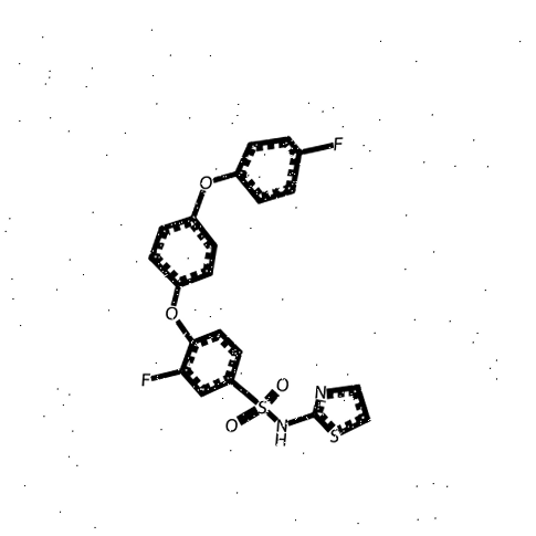 O=S(=O)(Nc1nccs1)c1ccc(Oc2ccc(Oc3ccc(F)cc3)cc2)c(F)c1